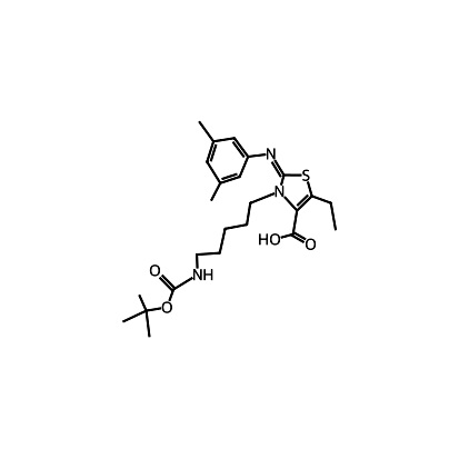 CCc1sc(=Nc2cc(C)cc(C)c2)n(CCCCCNC(=O)OC(C)(C)C)c1C(=O)O